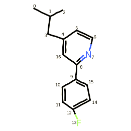 CC(C)Cc1ccnc(-c2ccc(F)cc2)c1